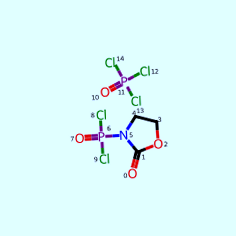 O=C1OCCN1P(=O)(Cl)Cl.O=P(Cl)(Cl)Cl